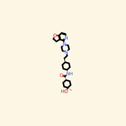 C[C@]1(O)CC[C@H](C(=O)N[C@H]2CC[C@H](CCN3CCN(c4nccc5c4CCO5)CC3)CC2)CC1